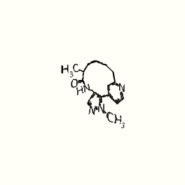 CC1CCCCc2cc(ccn2)-c2c(cnn2C)NC1=O